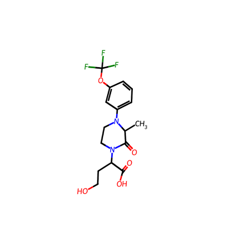 CC1C(=O)N(C(CCO)C(=O)O)CCN1c1cccc(OC(F)(F)F)c1